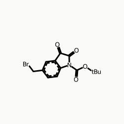 CC(C)(C)OC(=O)N1C(=O)C(=O)c2cc(CBr)ccc21